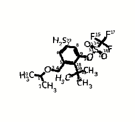 CC(C)OCc1cccc(OS(=O)(=O)C(F)(F)F)c1C(C)(C)C.S